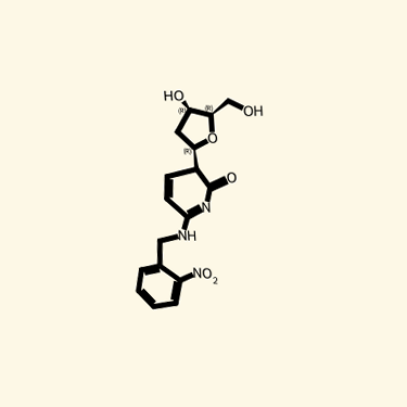 O=C1N=C(NCc2ccccc2[N+](=O)[O-])C=CC1[C@H]1C[C@@H](O)[C@@H](CO)O1